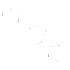 c1ccc(N2CCN(n3cnnc3)CC2)cc1